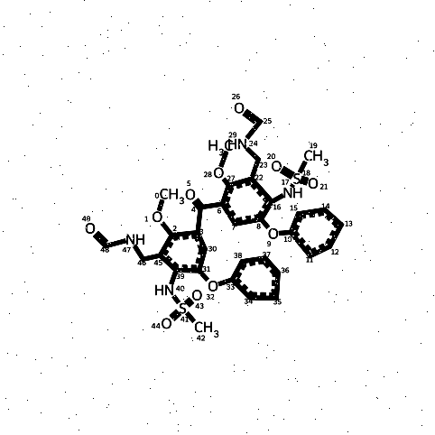 COc1c(C(=O)c2cc(Oc3ccccc3)c(NS(C)(=O)=O)c(CNC=O)c2OC)cc(Oc2ccccc2)c(NS(C)(=O)=O)c1CNC=O